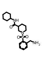 NCc1ccccc1S(=O)(=O)N1CCCC(C(=O)NC2CCCCC2)C1